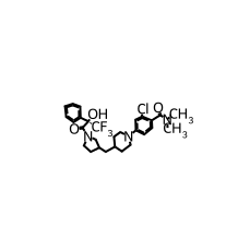 CN(C)C(=O)c1ccc(N2CCC(CC3CCN(C(=O)[C@](O)(c4ccccc4)C(F)(F)F)C3)CC2)cc1Cl